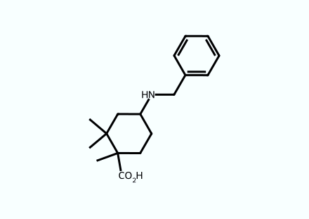 CC1(C)CC(NCc2ccccc2)CCC1(C)C(=O)O